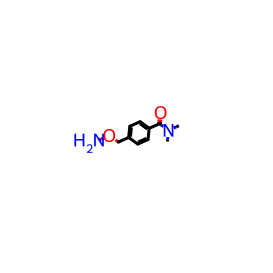 CN(C)C(=O)c1ccc(CON)cc1